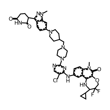 Cn1nc(C2CCC(=O)NC2=O)c2ccc(N3CCC(CN4CCN(c5ncc(Cl)c(Nc6ccc7c(c6)c6c(c(=O)n7C)OCC(F)(F)C(C7CC7)N6)n5)CC4)CC3)cc21